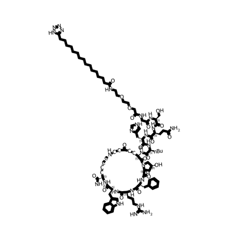 CCCC[C@H](NC(=O)[C@H](Cc1c[nH]cn1)NC(=O)[C@H](CCC(N)=O)NC(=O)[C@H](CO)NC(=O)CNC(=O)COCCOCCNC(=O)CCCCCCCCCCCCCCCc1nnn[nH]1)C(=O)N[C@H]1CCC(=O)CCNCCCC[C@@H](C(N)=O)NC(=O)[C@H](Cc2c[nH]c3ccccc23)NC(=O)[C@H](CCCNC(=N)N)NC(=O)[C@@H](Cc2ccccc2)NC(=O)[C@@H]2C[C@@H](O)CN2C1=O